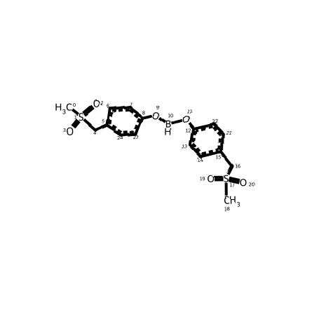 CS(=O)(=O)Cc1ccc(OBOc2ccc(CS(C)(=O)=O)cc2)cc1